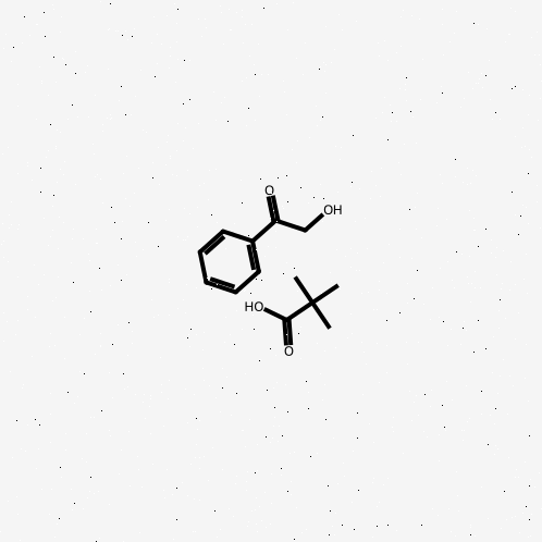 CC(C)(C)C(=O)O.O=C(CO)c1ccccc1